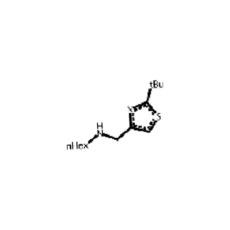 CCCCCCNCc1csc(C(C)(C)C)n1